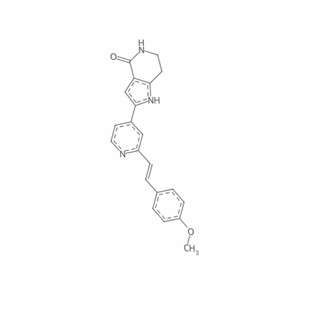 COc1ccc(C=Cc2cc(-c3cc4c([nH]3)CCNC4=O)ccn2)cc1